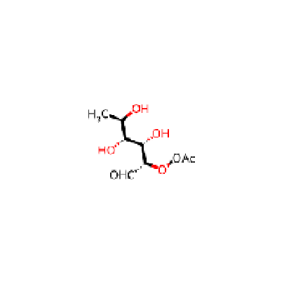 CC(=O)OO[C@H](C=O)[C@@H](O)[C@H](O)[C@@H](C)O